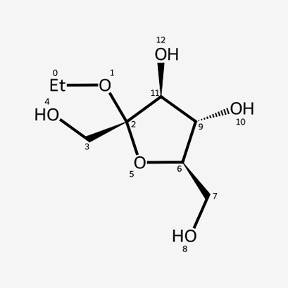 CCO[C@@]1(CO)O[C@H](CO)[C@@H](O)[C@@H]1O